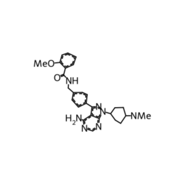 CNC1CCC(n2nc(-c3ccc(CNC(=O)c4ccccc4OC)cc3)c3c(N)ncnc32)CC1